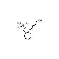 CC(C)(C)[Si](C)(C)OCC1CCCCCC1/C=C/C=C/CO